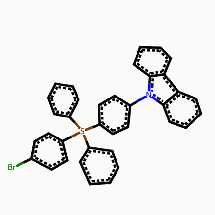 Brc1ccc(S(c2ccccc2)(c2ccccc2)c2ccc(-n3c4ccccc4c4ccccc43)cc2)cc1